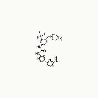 CNc1nccc(-c2cnc(NC(=O)Nc3ccc(CN4CCN(C(C)C)CC4)c(C(F)(F)F)c3)s2)n1